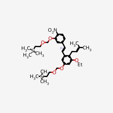 CCOc1cc(OCOCC[Si](C)(C)C)cc(/C=C/c2ccc([N+](=O)[O-])c(OCOCC[Si](C)(C)C)c2)c1CC=C(C)C